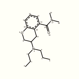 CCCN(CCC)C1COc2cccc(C(=O)N(C)C)c2C1